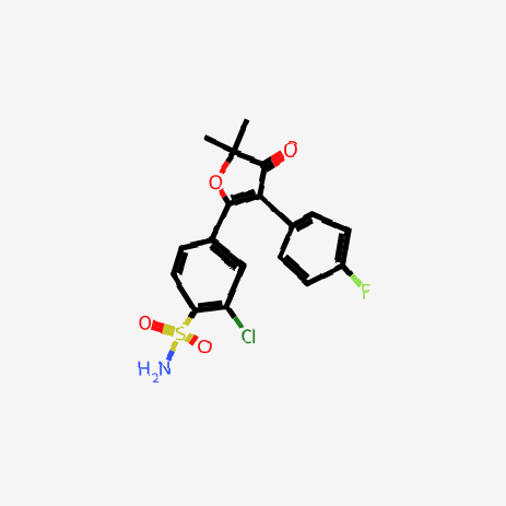 CC1(C)OC(c2ccc(S(N)(=O)=O)c(Cl)c2)=C(c2ccc(F)cc2)C1=O